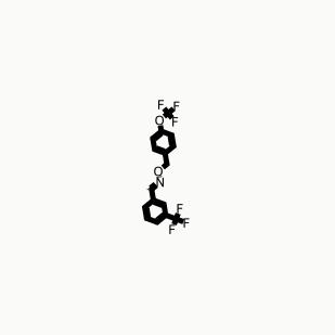 FC(F)(F)Oc1ccc(CON=[C]c2cccc(C(F)(F)F)c2)cc1